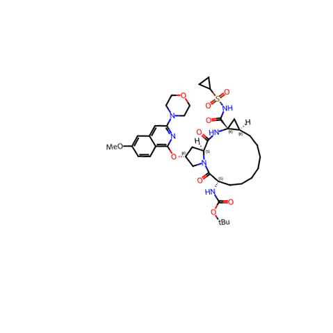 COc1ccc2c(O[C@@H]3C[C@H]4C(=O)N[C@]5(C(=O)NS(=O)(=O)C6CC6)C[C@H]5CCCCCCC[C@H](NC(=O)OC(C)(C)C)C(=O)N4C3)nc(N3CCOCC3)cc2c1